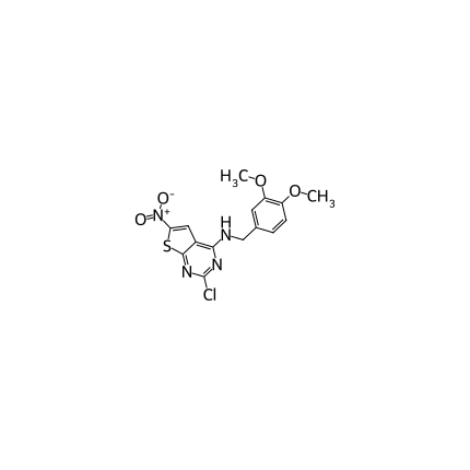 COc1ccc(CNc2nc(Cl)nc3sc([N+](=O)[O-])cc23)cc1OC